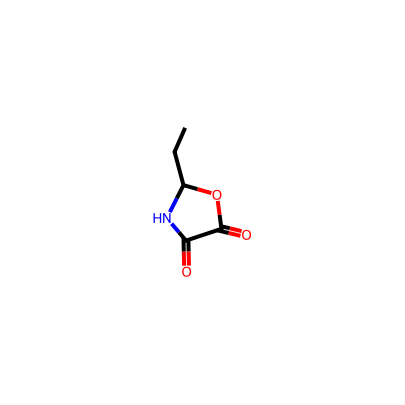 CCC1NC(=O)C(=O)O1